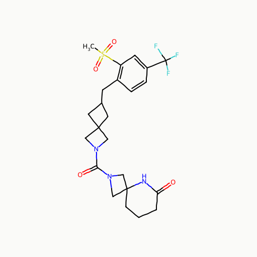 CS(=O)(=O)c1cc(C(F)(F)F)ccc1CC1CC2(C1)CN(C(=O)N1CC3(CCCC(=O)N3)C1)C2